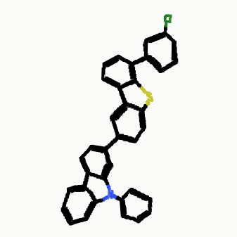 Clc1cccc(-c2cccc3c2sc2ccc(-c4ccc5c6ccccc6n(-c6ccccc6)c5c4)cc23)c1